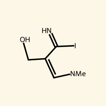 CN/C=C(/CO)C(=N)I